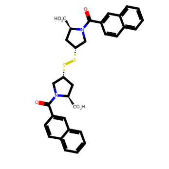 O=C(O)[C@@H]1C[C@@H](SS[C@@H]2C[C@@H](C(=O)O)N(C(=O)c3ccc4ccccc4c3)C2)CN1C(=O)c1ccc2ccccc2c1